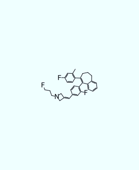 Cc1cc(F)ccc1C1=C(c2ccc(C=C3CN(CCCF)C3)cc2F)c2ccccc2CCC1